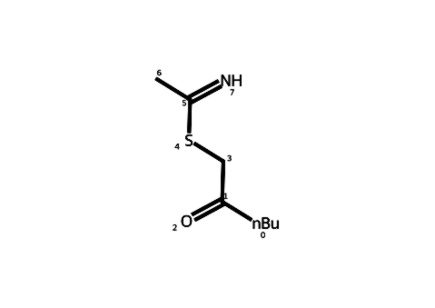 CCCCC(=O)CSC(C)=N